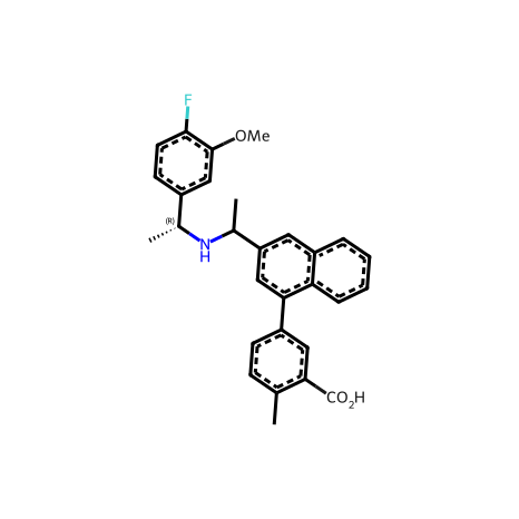 COc1cc([C@@H](C)NC(C)c2cc(-c3ccc(C)c(C(=O)O)c3)c3ccccc3c2)ccc1F